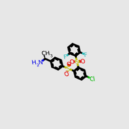 C[C@H](N)c1ccc(S(=O)(=O)c2ccc(Cl)cc2S(=O)(=O)c2c(F)cccc2F)cc1